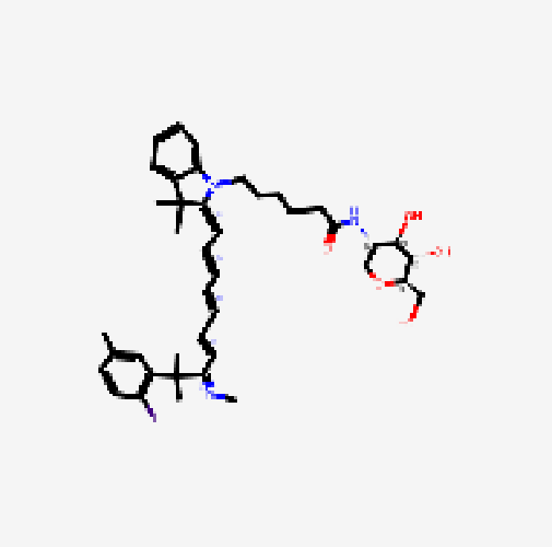 C\N=C(/C=C/C=C/C=C/C=C1/N(CCCCCC(=O)N[C@H]2CO[C@H](CO)[C@@H](O)[C@@H]2O)c2ccccc2C1(C)C)C(C)(C)c1cc(C)ccc1I